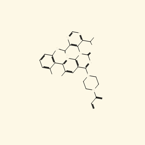 C=CC(=O)N1CCN(c2nc(=O)n(-c3c(C(C)C)ncnc3C(C)C)c3nc(-c4c(O)cccc4F)c(F)cc23)CC1